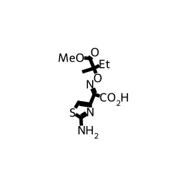 CCC(C)(ON=C(C(=O)O)c1csc(N)n1)C(=O)OC